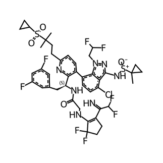 CC1([S+]([O-])Nc2nn(CC(F)F)c3c(-c4ccc(CCC(C)(C)S(=O)(=O)C5CC5)nc4[C@H](Cc4cc(F)cc(F)c4)NC(=O)CNC4=C(C(=N)C(F)F)CCC4(F)F)ccc(Cl)c23)CC1